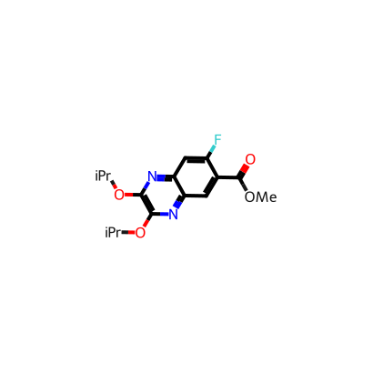 COC(=O)c1cc2nc(OC(C)C)c(OC(C)C)nc2cc1F